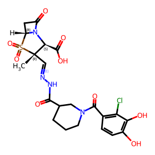 C[C@]1(/C=N/NC(=O)C2CCCN(C(=O)c3ccc(O)c(O)c3Cl)C2)[C@H](C(=O)O)N2C(=O)C[C@H]2S1(=O)=O